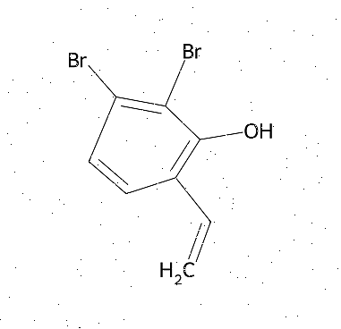 C=Cc1ccc(Br)c(Br)c1O